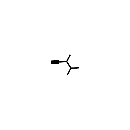 C#CC(C)C(C)C